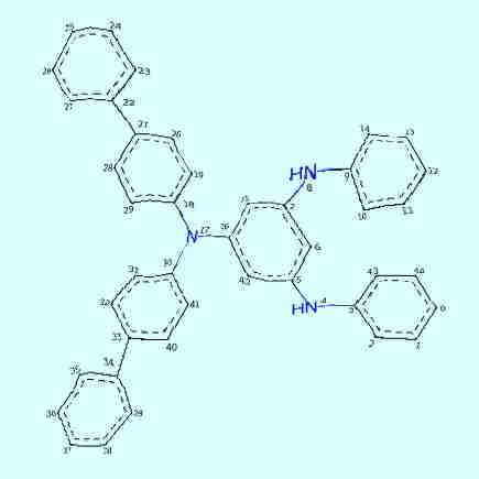 c1ccc(Nc2cc(Nc3ccccc3)cc(N(c3ccc(-c4ccccc4)cc3)c3ccc(-c4ccccc4)cc3)c2)cc1